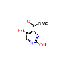 CNC(=O)c1nc(O)ncc1O